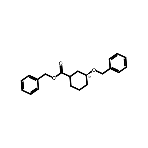 O=C(OCc1ccccc1)C1CCC[C@H](OCc2ccccc2)C1